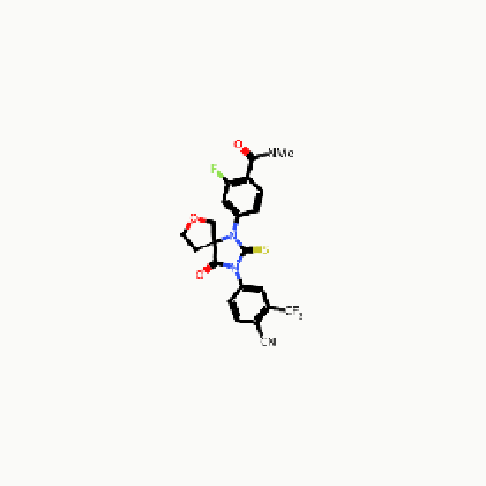 CNC(=O)c1ccc(N2C(=S)N(c3ccc(C#N)c(C(F)(F)F)c3)C(=O)[C@@]23CCOC3)cc1F